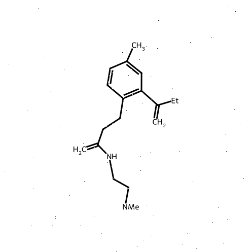 C=C(CCc1ccc(C)cc1C(=C)CC)NCCNC